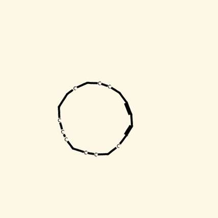 [C]1=C\C=C/CCCCCCCCCCCCCCC/1